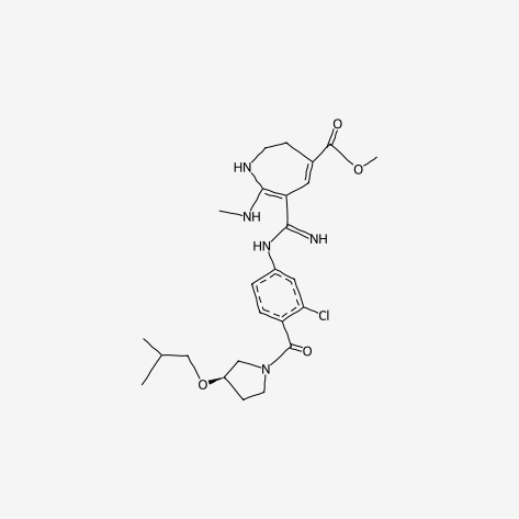 CNC1=C(C(=N)Nc2ccc(C(=O)N3CC[C@@H](OCC(C)C)C3)c(Cl)c2)C=C(C(=O)OC)CCN1